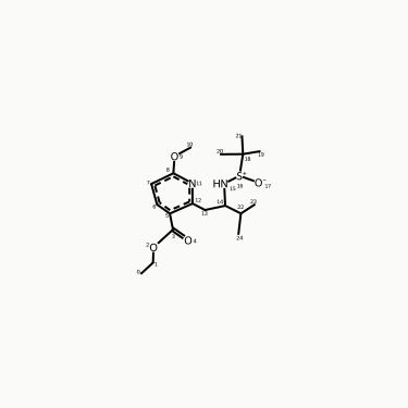 CCOC(=O)c1ccc(OC)nc1CC(N[S+]([O-])C(C)(C)C)C(C)C